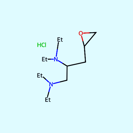 CCN(CC)CC(CC1CO1)N(CC)CC.Cl